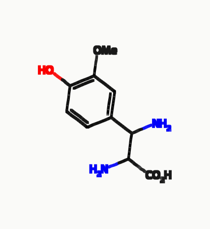 COc1cc(C(N)C(N)C(=O)O)ccc1O